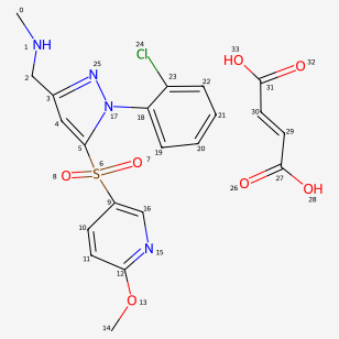 CNCc1cc(S(=O)(=O)c2ccc(OC)nc2)n(-c2ccccc2Cl)n1.O=C(O)C=CC(=O)O